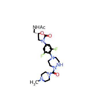 CC(=O)NC[C@H]1CN(c2cc(F)c(N3CCNN(C(=O)N4CCN(C)CC4)CC3)c(F)c2)C(=O)O1